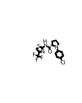 O=C(Nc1nc(C(F)(F)F)cs1)[C@@H]1CCCN1c1ccc(Cl)cc1